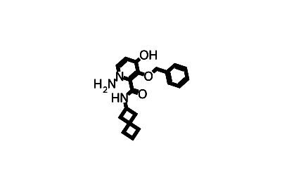 NN1C=CC(O)C(OCc2ccccc2)=C1C(=O)NC1CC2(CCC2)C1